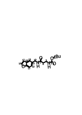 CC(C)(C)OC(=O)NCCC(=O)NCc1ccc2occc2c1